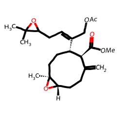 C=C1CC[C@@H]2O[C@@]2(C)CC[C@H](/C(=C\CC2OC2(C)C)COC(C)=O)[C@H]1C(=O)OC